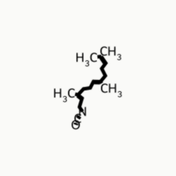 CC(C)=CCCC(C)=CCCC(C)=CCN=C=O